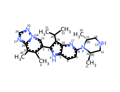 Cc1c(-c2[nH]c3ccc(N4[C@H](C)CNC[C@H]4C)nc3c2C(C)C)cn2ncnc2c1C